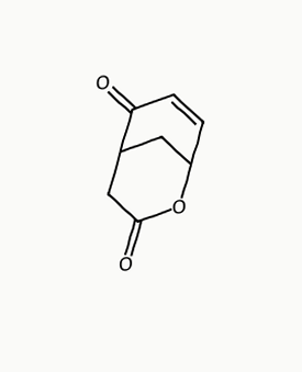 O=C1CC2CC(C=CC2=O)O1